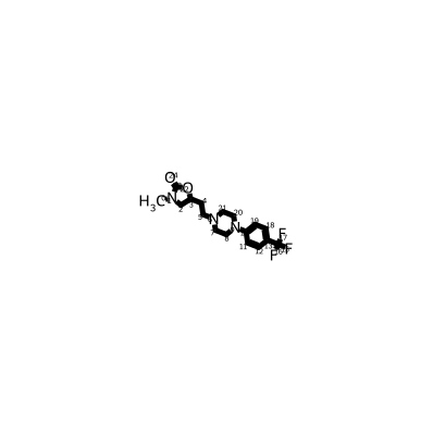 CN1CC(CCN2CCN(c3ccc(C(F)(F)F)cc3)CC2)OC1=O